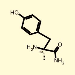 C[C@](N)(Cc1ccc(O)cc1)C(N)=O